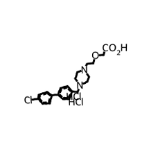 Cl.Cl.O=C(O)COCCN1CCN(Cc2ccc(-c3ccc(Cl)cc3)cc2)CC1